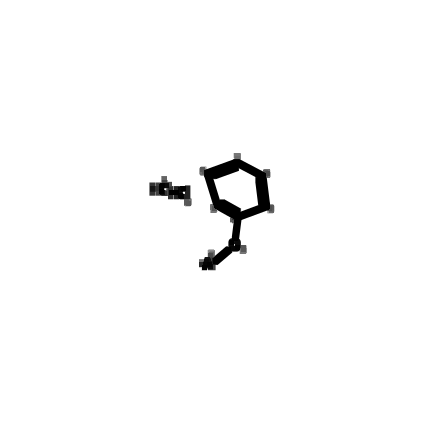 Cl.Cl.[Al][O]c1ccccc1